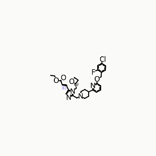 CCOC(=O)/C=C/c1cnc(CN2CCC(c3cccc(OCc4ccc(Cl)cc4F)n3)CC2)n1C[C@@H]1CCO1